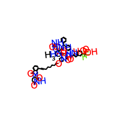 CCCC[C@H](NC(=O)c1cc2cc(C(F)(F)P(=O)(O)O)ccc2[nH]1)C(=O)N1C[C@H](OCCCCCCC#Cc2cccc3c2CN(C2CCC(=O)NC2=O)C3=O)C[C@H]1C(=O)N[C@@H](COC(N)=O)C(=O)NC(c1ccccc1)c1ccccc1